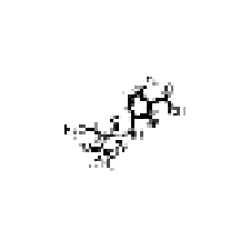 CCN(S(C)(=O)=O)S(=O)(=O)Nc1ccc(F)c(C(=O)O)c1F